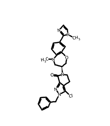 CN1C[C@H](N2CCc3c(nn(Cc4ccccc4)c3Cl)C2=O)COc2cc(-c3nccn3C)ccc21